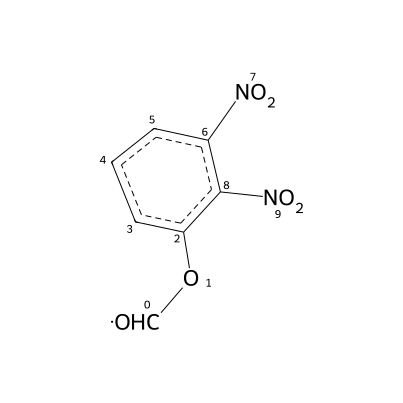 O=[C]Oc1cccc([N+](=O)[O-])c1[N+](=O)[O-]